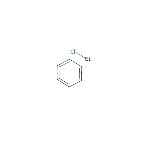 CCCl.c1ccccc1